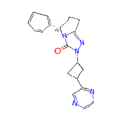 O=c1n(C2CC(c3cnccn3)C2)nc2n1[C@H](c1ccccc1)CC2